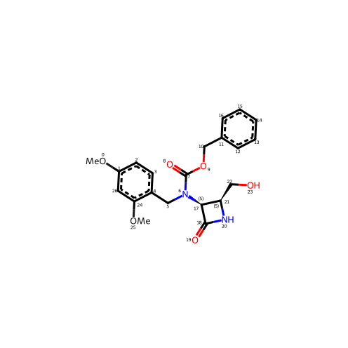 COc1ccc(CN(C(=O)OCc2ccccc2)[C@@H]2C(=O)N[C@@H]2CO)c(OC)c1